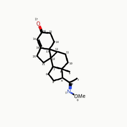 CO/N=C(\C)C1CCC2C1(C)CCC1C34CCC(=O)C=C3CCC214